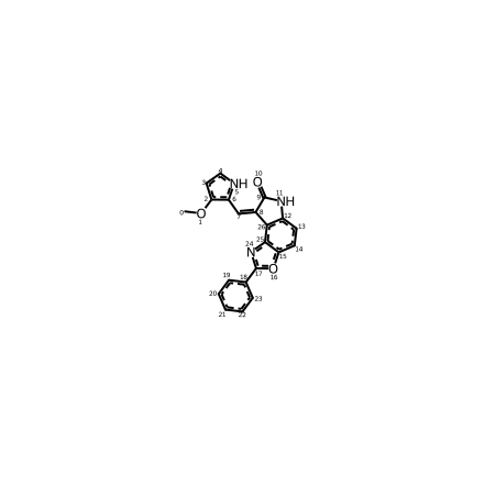 COc1cc[nH]c1C=C1C(=O)Nc2ccc3oc(-c4ccccc4)nc3c21